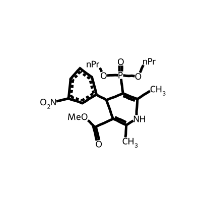 CCCOP(=O)(OCCC)C1=C(C)NC(C)=C(C(=O)OC)C1c1cccc([N+](=O)[O-])c1